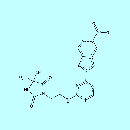 CC1(C)NC(=O)N(CCNc2nccc(-c3cc4cc([N+](=O)[O-])ccc4s3)n2)C1=O